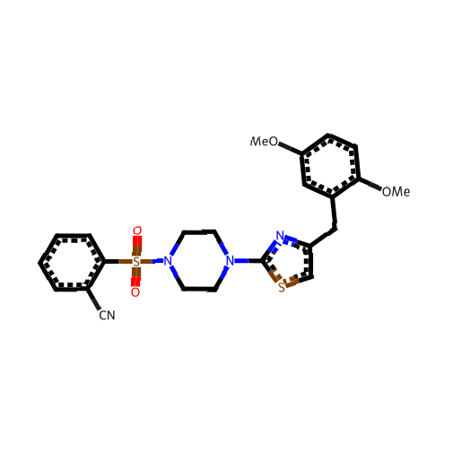 COc1ccc(OC)c(Cc2csc(N3CCN(S(=O)(=O)c4ccccc4C#N)CC3)n2)c1